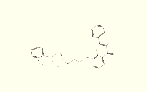 COc1ccccc1N1CCN(CCCNc2cccc3c(=O)c(C)c(-c4ccccc4)oc23)CC1.Cl